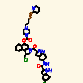 O=C(Nc1ccc2[nH]c(C(=O)N3CC(CCl)c4c3cc(OC(=O)N3CCN(CCCSSc5ccccn5)CC3)c3ccccc43)cc2c1)c1cc2cc(F)ccc2[nH]1